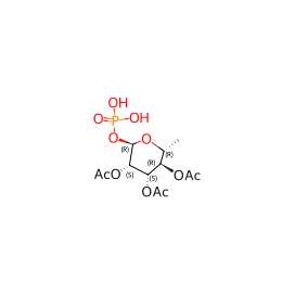 CC(=O)O[C@@H]1[C@H](OC(C)=O)[C@@H](OP(=O)(O)O)O[C@H](C)[C@H]1OC(C)=O